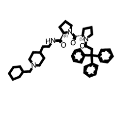 O=C(NCCC1CCN(CC2CCCCC2)CC1)[C@H]1CCCN1C(=O)[C@@H]1CCCN1C(=O)CC(c1ccccc1)(c1ccccc1)c1ccccc1